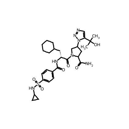 CC(C)(O)c1cnnn1C1CC(C(N)=O)N(C(=O)[C@@H](CC2CCCCC2)NC(=O)c2ccc(S(=O)(=O)NC3CC3)cc2)C1